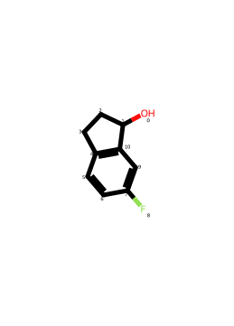 OC1[CH]Cc2ccc(F)cc21